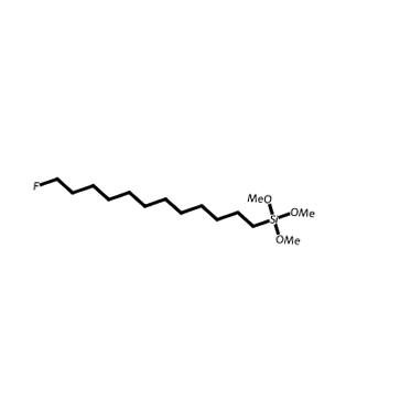 CO[Si](CCCCCCCCCCCCF)(OC)OC